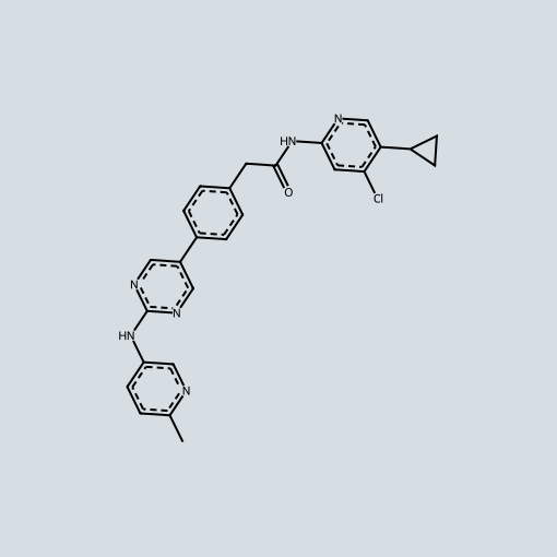 Cc1ccc(Nc2ncc(-c3ccc(CC(=O)Nc4cc(Cl)c(C5CC5)cn4)cc3)cn2)cn1